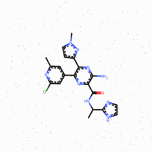 Cc1cc(-c2nc(C(=O)NC(C)c3ncc[nH]3)c(N)nc2-c2ccn(C)n2)cc(Cl)n1